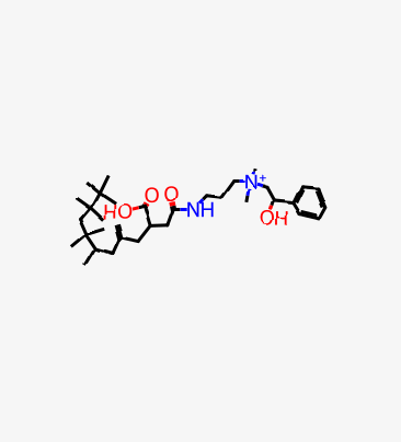 C=C(CC(CC(=O)NCCC[N+](C)(C)CC(O)c1ccccc1)C(=O)O)CC(C)C(C)(C)CC(C)(C)C(C)(C)C